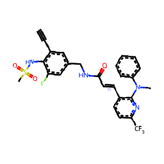 C#Cc1cc(CNC(=O)/C=C/c2ccc(C(F)(F)F)nc2N(C)c2ccccc2)cc(F)c1NS(C)(=O)=O